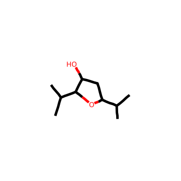 CC(C)C1CC(O)C(C(C)C)O1